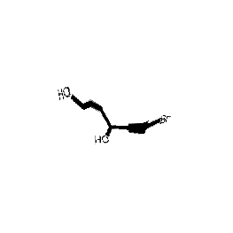 OCCC(O)C#CBr